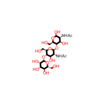 CC(=O)N[C@@H]1[C@@H](O)[C@H](O[C@@H]2O[C@H](CO)[C@@H](O[C@@H]3O[C@H](CO)[C@@H](O)[C@H](O)[C@@H]3O)[C@H](O)[C@H]2NC(C)=O)[C@@H](CO)O[C@H]1O